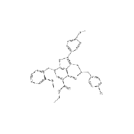 CCOC(=O)c1cn(Cc2ccccc2OC)c2sc(-c3ccc(OC)cc3)c(CN(C)Cc3ccc(Cl)cc3)c2c1=O